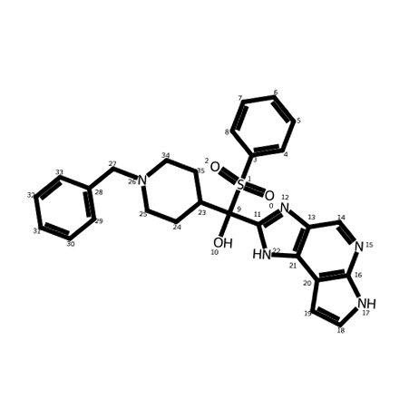 O=S(=O)(c1ccccc1)C(O)(c1nc2cnc3[nH]ccc3c2[nH]1)C1CCN(Cc2ccccc2)CC1